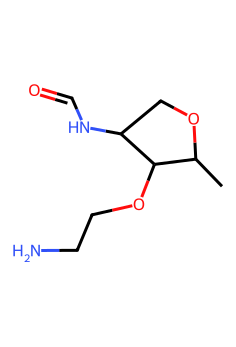 CC1OCC(NC=O)C1OCCN